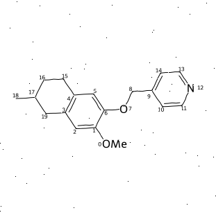 COc1cc2c(cc1OCc1ccncc1)CCC(C)C2